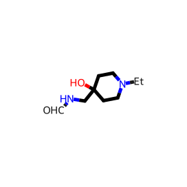 CCN1CCC(O)(CNC=O)CC1